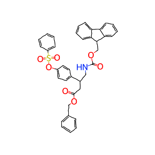 O=C(CC(CNC(=O)OCC1c2ccccc2-c2ccccc21)c1ccc(OS(=O)(=O)c2ccccc2)cc1)OCc1ccccc1